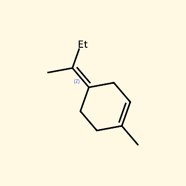 CC/C(C)=C1\CC=C(C)CC1